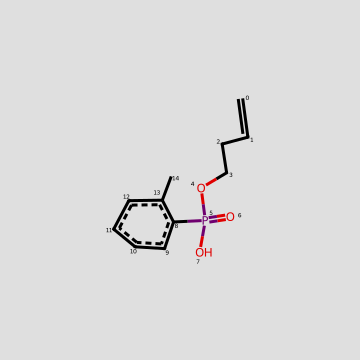 C=CCCOP(=O)(O)c1ccccc1C